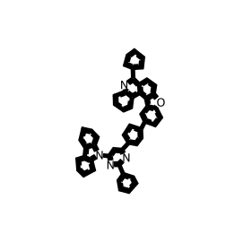 c1ccc(-c2nc(-c3ccc(-c4ccc5oc6ccc7c(-c8ccccc8)nc8ccccc8c7c6c5c4)cc3)cc(-n3c4ccccc4c4ccccc43)n2)cc1